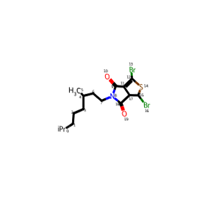 CC(C)CCCC(C)CCN1C(=O)C2=C(Br)SC(Br)C2C1=O